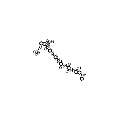 COc1cc(N=Nc2cc(C)c(N=Nc3ccc(C(=O)Nc4cc5c(OCCCS(=O)(=O)O)cccc5cc4S(=O)(=O)O)cc3)cc2C)c(C)cc1N=Nc1cc(OC)c(N=Nc2ccc3cc(Nc4ccccc4)ccc3c2O)cc1OC